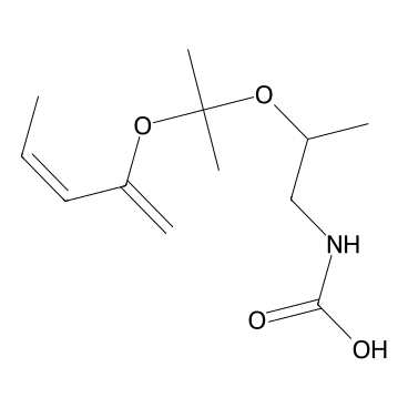 C=C(/C=C\C)OC(C)(C)OC(C)CNC(=O)O